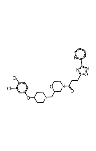 O=C(CCc1nc(-c2ccccn2)no1)N1CCOC(CN2CCC(Oc3ccc(Cl)c(Cl)c3)CC2)C1